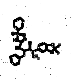 CN(C(=O)C(Cc1ccccc1)NC(=O)NS(=O)(=O)c1ccccc1)c1ccc2c(c1)OC(F)(F)O2